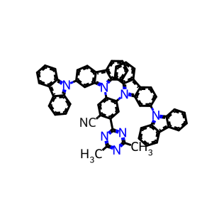 Cc1nc(C)nc(-c2cc(-n3c4ccccc4c4ccc(-n5c6ccccc6c6ccccc65)cc43)c(-n3c4ccccc4c4ccc(-n5c6ccccc6c6ccccc65)cc43)cc2C#N)n1